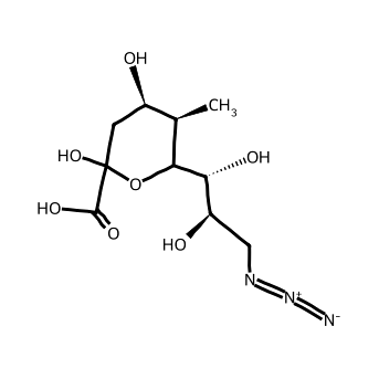 C[C@H]1C([C@H](O)[C@H](O)CN=[N+]=[N-])OC(O)(C(=O)O)C[C@H]1O